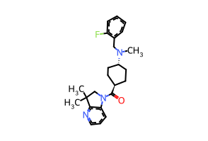 CN(Cc1ccccc1F)[C@H]1CC[C@H](C(=O)N2CC(C)(C)c3ncccc32)CC1